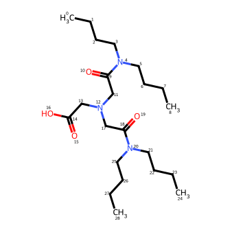 CCCCN(CCCC)C(=O)CN(CC(=O)O)CC(=O)N(CCCC)CCCC